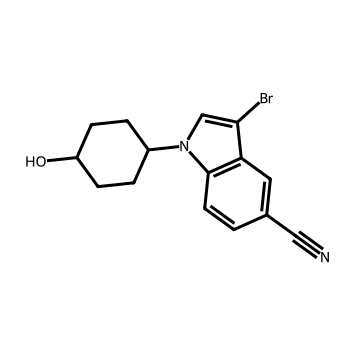 N#Cc1ccc2c(c1)c(Br)cn2C1CCC(O)CC1